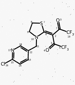 O=C(C(C(=O)C(F)(F)F)=C1SCCN1Cc1ccc(Cl)nc1)C(F)(F)F